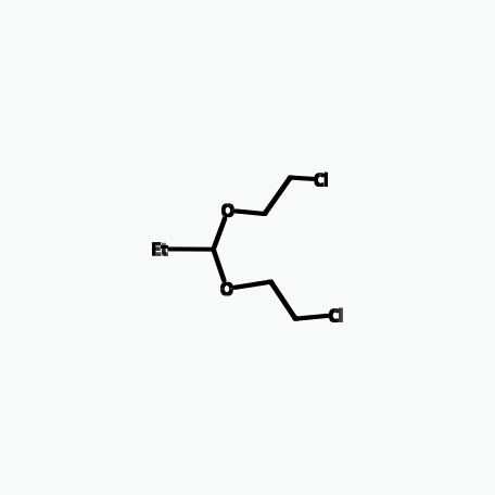 CCC(OCCCl)OCCCl